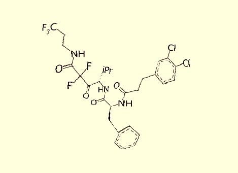 CC(C)[C@H](NC(=O)[C@H](Cc1ccccc1)NC(=O)CCc1ccc(Cl)c(Cl)c1)C(=O)C(F)(F)C(=O)NCCC(F)(F)F